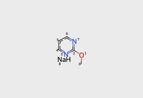 COc1ncccn1.[NaH]